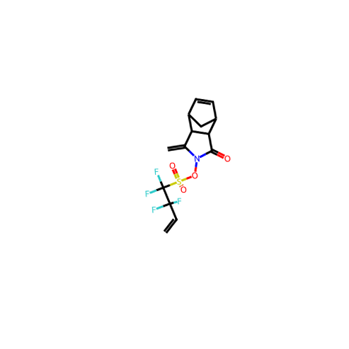 C=CC(F)(F)C(F)(F)S(=O)(=O)ON1C(=C)C2C3C=CC(C3)C2C1=O